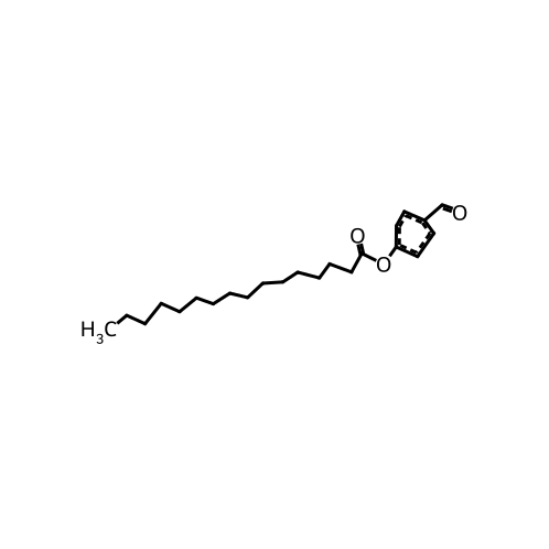 CCCCCCCCCCCCCCCC(=O)Oc1ccc(C=O)cc1